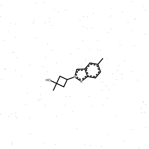 Cc1ccc2nn(C3CC(C)(O)C3)cc2c1